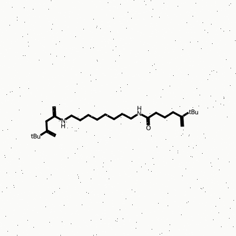 C=C(CC(=C)C(C)(C)C)NCCCCCCCCNC(=O)CCCC(=C)C(C)(C)C